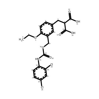 CCOc1ccc(CC(C(=O)O)C(=O)O)cc1COC(=O)Nc1ccc(Cl)cc1Cl